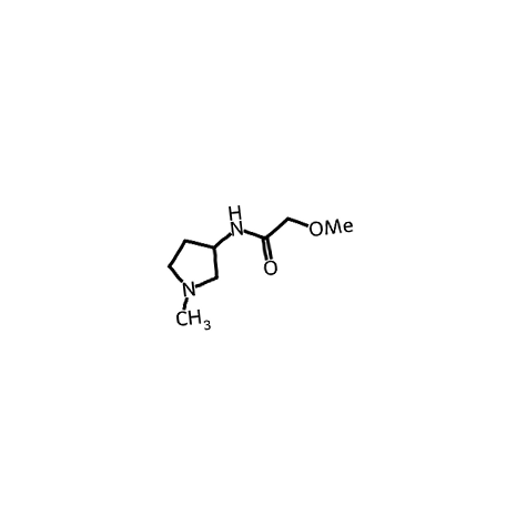 COCC(=O)NC1CCN(C)C1